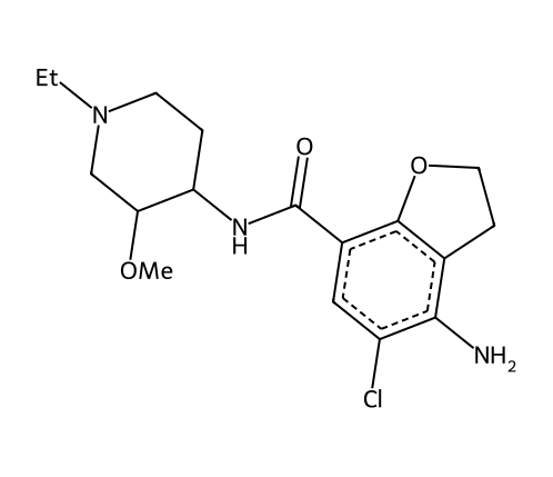 CCN1CCC(NC(=O)c2cc(Cl)c(N)c3c2OCC3)C(OC)C1